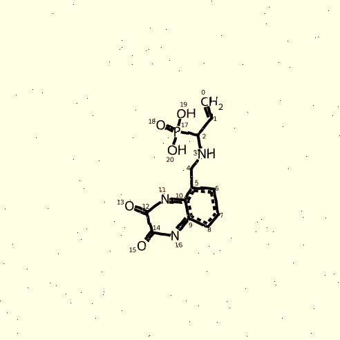 C=CC(NCc1cccc2c1=NC(=O)C(=O)N=2)P(=O)(O)O